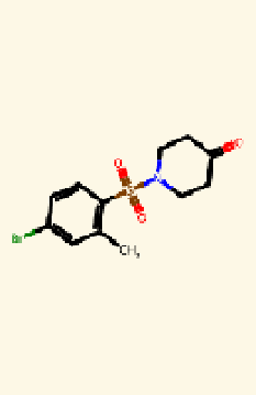 Cc1cc(Br)ccc1S(=O)(=O)N1CCC(=O)CC1